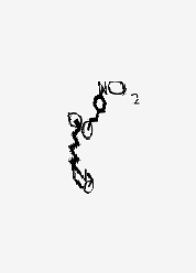 O=C(CCCCCN1CCOCC1)OCCc1ccc([N+](=O)[O-])cc1